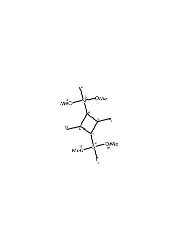 CO[Si](C)(OC)C1C(C)C([Si](F)(OC)OC)C1C